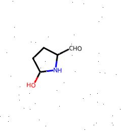 O=CC1CCC(O)N1